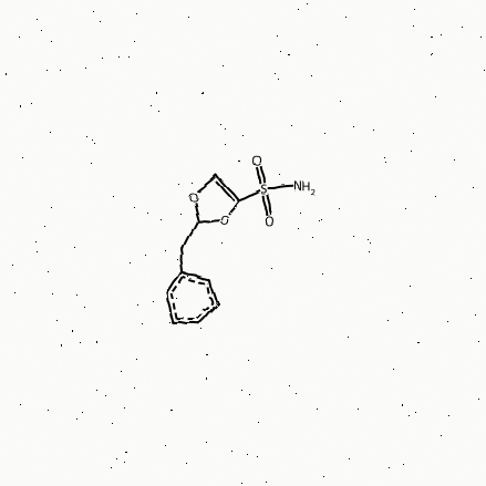 NS(=O)(=O)C1=COC(Cc2ccccc2)O1